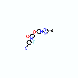 N#Cc1ccc(-n2ccc(OC3CCN(c4ncc(C5CC5)cn4)CC3)cc2=O)c(F)c1